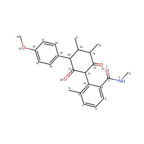 CNC(=O)c1cccc(C)c1C1C(=O)C(C)C(C)C(c2ccc(OC)cc2)C1=O